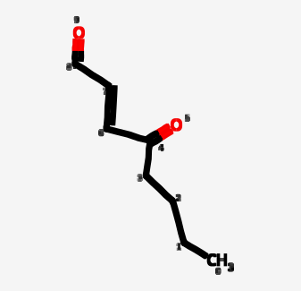 CCCCC(=O)C=C[C]=O